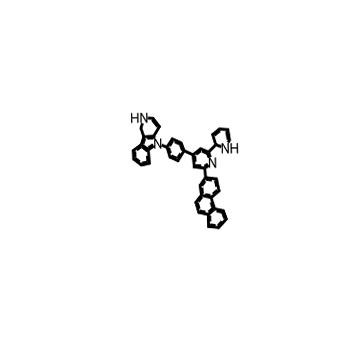 C1=CNC(c2cc(-c3ccc(-n4c5c(c6ccccc64)CNC=C5)cc3)cc(-c3ccc4c(ccc5ccccc54)c3)n2)C=C1